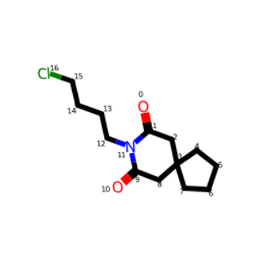 O=C1CC2(CCCC2)CC(=O)N1CCCCCl